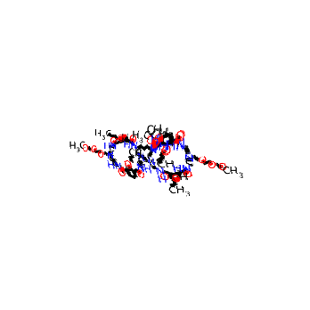 CCCCOC1C2=CCC[C@@H]1C(=O)NCCN(CCOCCOCCOC)CCNC(=O)[C@@H]1CCC=C(C(=O)NCCN(CCN3CCNC(=O)C4=CCC[C@@H](C(=O)NCCN(CCOCCOCCOC)CCNC(=O)C5CCC=C(C(=O)NC(CCCCNC(=O)OC(C)(C)C)C3)[C@H]5OCCCC)C4OCCCC)CCNC2=O)C1OCCCC